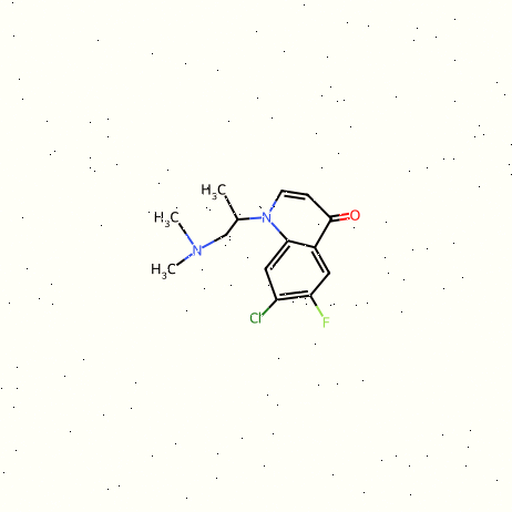 CC(CN(C)C)n1ccc(=O)c2cc(F)c(Cl)cc21